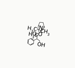 CCC(C)[N+]1(C)C2CCC1CC(OC(=O)C(CO)c1ccccc1)C2